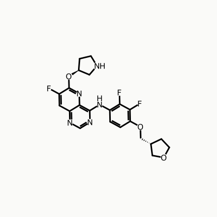 Fc1cc2ncnc(Nc3ccc(OC[C@@H]4CCOC4)c(F)c3F)c2nc1O[C@H]1CCNC1